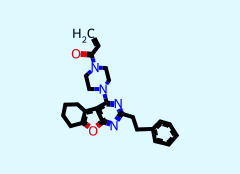 C=CC(=O)N1CCN(c2nc(CCc3ccccc3)nc3oc4c(c23)CCCC4)CC1